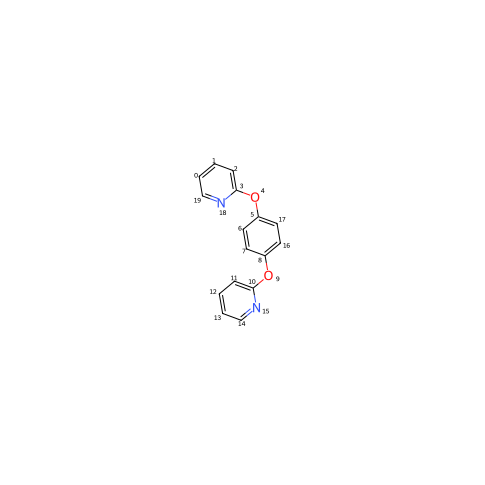 c1ccc(Oc2ccc(Oc3ccccn3)cc2)nc1